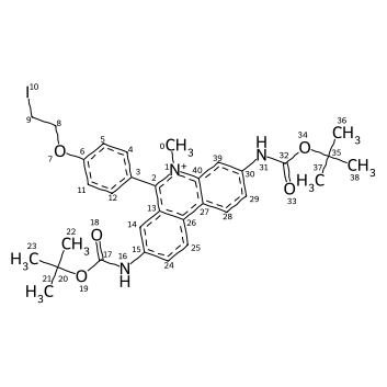 C[n+]1c(-c2ccc(OCCI)cc2)c2cc(NC(=O)OC(C)(C)C)ccc2c2ccc(NC(=O)OC(C)(C)C)cc21